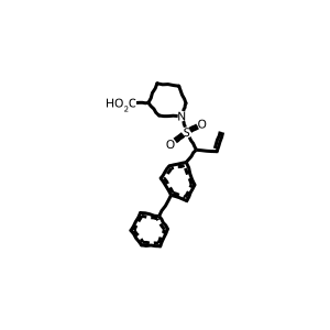 C=CC(c1ccc(-c2ccccc2)cc1)S(=O)(=O)N1CCCC(C(=O)O)C1